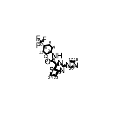 O=C(N[C@H]1CC[C@@H](C(F)(F)F)CC1)c1nc(-n2ccnc2)nc2ccsc12